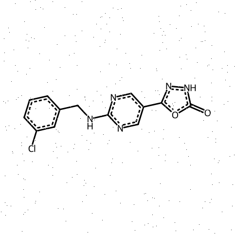 O=c1[nH]nc(-c2cnc(NCc3cccc(Cl)c3)nc2)o1